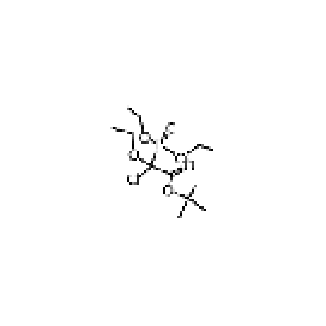 CCOC(Cl)(C(=O)OC(C)(C)C)P(=O)(OCC)OCC